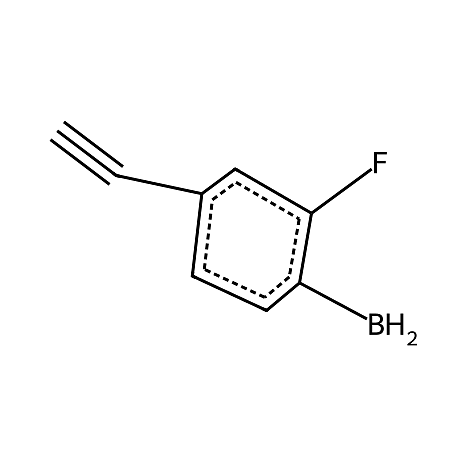 Bc1ccc(C#C)cc1F